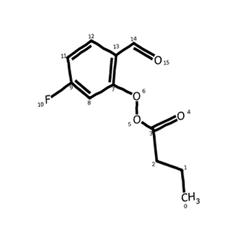 CCCC(=O)OOc1cc(F)ccc1C=O